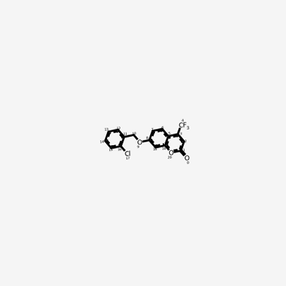 O=c1cc(C(F)(F)F)c2ccc(OCc3ccccc3Cl)cc2o1